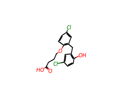 O=C(O)CCCOc1ccc(Cl)cc1Cc1cc(Cl)ccc1O